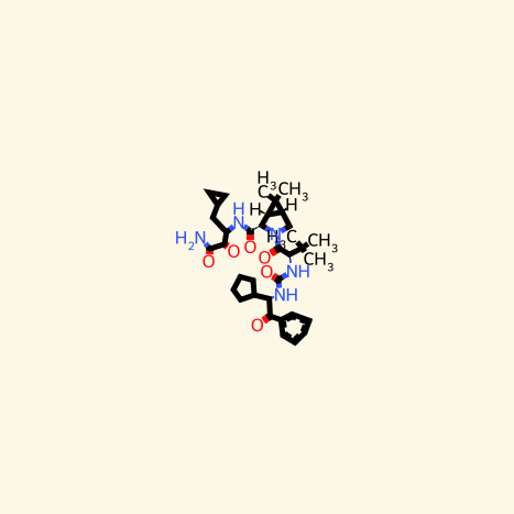 CC(C)(C)[C@H](NC(=O)N[C@H](C(=O)c1ccccc1)C1CCCC1)C(=O)N1C[C@H]2[C@@H]([C@H]1C(=O)NC(CC1CC1)C(=O)C(N)=O)C2(C)C